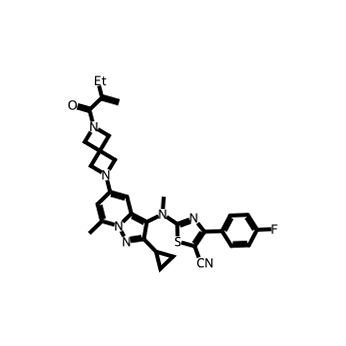 C=C(CC)C(=O)N1CC2(C1)CN(c1cc(C)n3nc(C4CC4)c(N(C)c4nc(-c5ccc(F)cc5)c(C#N)s4)c3c1)C2